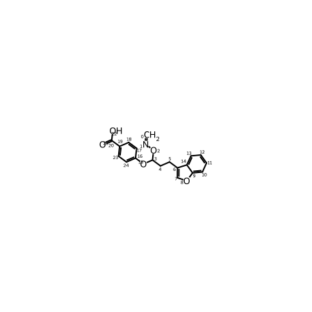 C=NOC(CCc1coc2ccccc12)Oc1ccc(C(=O)O)cc1